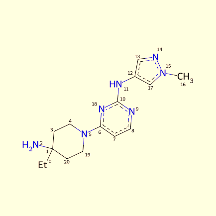 CCC1(N)CCN(c2ccnc(Nc3cnn(C)c3)n2)CC1